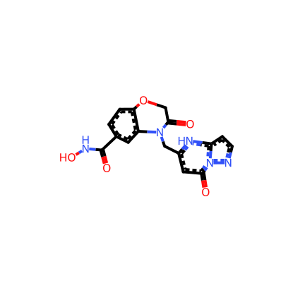 O=C(NO)c1ccc2c(c1)N(Cc1cc(=O)n3nccc3[nH]1)C(=O)CO2